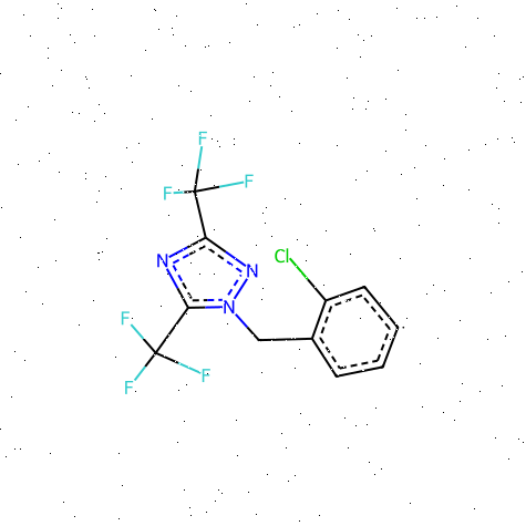 FC(F)(F)c1nc(C(F)(F)F)n(Cc2cc[c]cc2Cl)n1